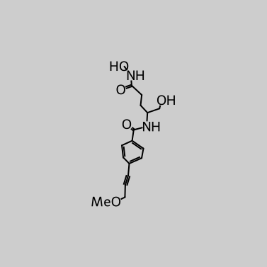 COCC#Cc1ccc(C(=O)NC(CO)CCC(=O)NO)cc1